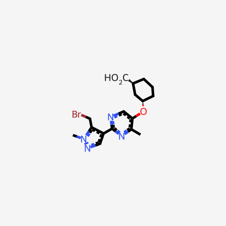 Cc1nc(-c2cnn(C)c2CBr)ncc1O[C@H]1CCC[C@H](C(=O)O)C1